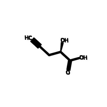 C#CC[C@@H](O)C(=O)O